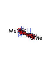 COC(=O)N[C@H](C(=O)N1CCC[C@H]1c1nc2cc(C#Cc3ccc4nc([C@@H]5CCCN5C(=O)[C@H](C(C)C)N(C)C(=O)OC)[nH]c4c3)ccc2[nH]1)C(C)C